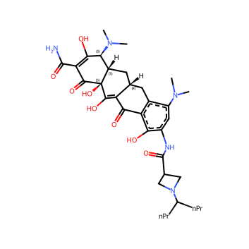 CCCC(CCC)N1CC(C(=O)Nc2cc(N(C)C)c3c(c2O)C(=O)C2=C(O)[C@]4(O)C(=O)C(C(N)=O)=C(O)[C@@H](N(C)C)[C@@H]4C[C@@H]2C3)C1